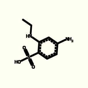 CCNc1cc(N)ccc1S(=O)(=O)O